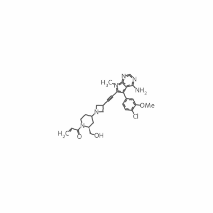 C=CC(=O)N1CCC(N2CC(C#Cc3c(-c4ccc(Cl)c(OC)c4)c4c(N)ncnc4n3C)C2)C[C@H]1CO